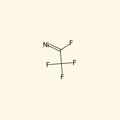 F[C](=[Ni])C(F)(F)F